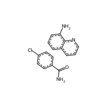 NC(=O)c1ccc(Cl)cc1.Nc1cccc2cccnc12